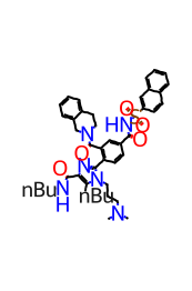 CCCCNC(=O)c1nc(-c2ccc(C(=O)NS(=O)(=O)c3ccc4ccccc4c3)cc2C(=O)N2CCc3ccccc3C2)n(CCCN(C)C)c1CCCC